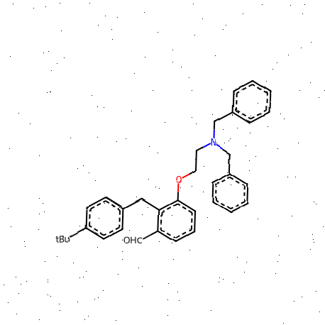 CC(C)(C)c1ccc(Cc2c([C]=O)cccc2OCCN(Cc2ccccc2)Cc2ccccc2)cc1